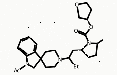 CCC(CC1CCC(C)N1C(=O)O[C@@H]1CCOC1)N1CCC2(CC1)CN(C(C)=O)c1ccccc12